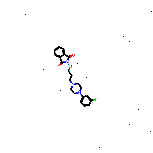 O=C1c2ccccc2C(=O)N1OCCCN1CCN(c2cccc(Cl)c2)CC1